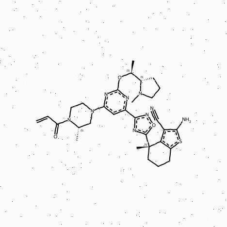 C=CC(=O)N1CCN(c2cc(-c3noc([C@@]4(C)CCCc5sc(N)c(C#N)c54)n3)nc(O[C@@H](C)[C@@H]3CCCN3C)n2)C[C@@H]1C